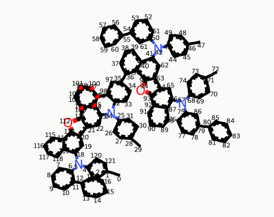 Cc1ccc(N(c2ccccc2-c2ccccc2)c2cc3c4cc(N(c5ccc(C)cc5)c5ccc(-c6cccc7c(N(c8ccc(C)cc8)c8cccc(-c9ccccc9)c8)cc8c9cc(N(c%10ccc(C)cc%10)c%10cccc(-c%11ccccc%11)c%10)c%10ccccc%10c9oc8c67)cc5-c5ccccc5)c5ccccc5c4oc3c3ccccc23)cc1